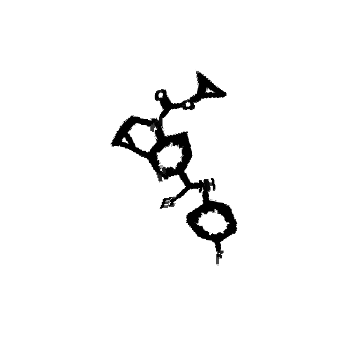 CCC(Nc1ccc(F)cc1)c1ccc2c(n1)C1CC1CN2C(=O)OC1CC1